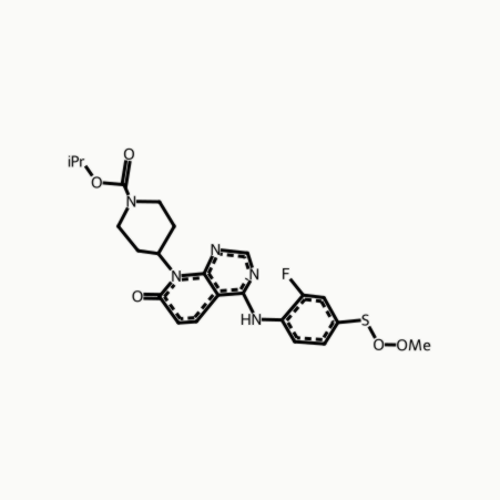 COOSc1ccc(Nc2ncnc3c2ccc(=O)n3C2CCN(C(=O)OC(C)C)CC2)c(F)c1